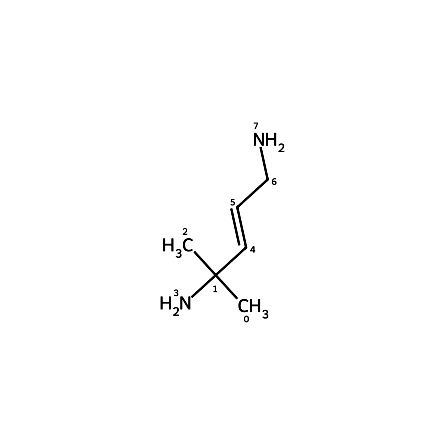 CC(C)(N)C=CCN